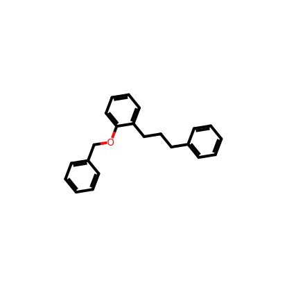 c1ccc(CCCc2ccccc2OCc2ccccc2)cc1